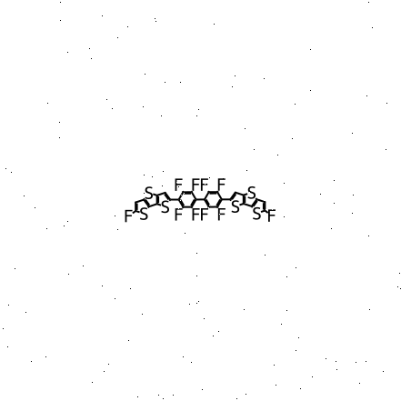 Fc1cc2sc3cc(-c4c(F)c(F)c(-c5c(F)c(F)c(-c6cc7sc8cc(F)sc8c7s6)c(F)c5F)c(F)c4F)sc3c2s1